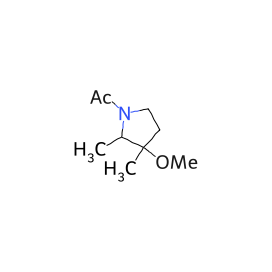 COC1(C)CCN(C(C)=O)C1C